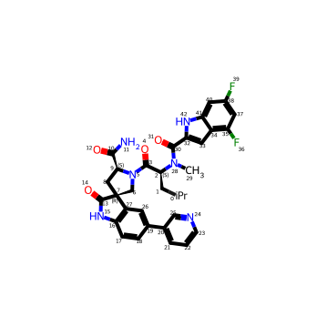 CC(C)C[C@@H](C(=O)N1C[C@]2(C[C@H]1C(N)=O)C(=O)Nc1ccc(-c3cccnc3)cc12)N(C)C(=O)c1cc2c(F)cc(F)cc2[nH]1